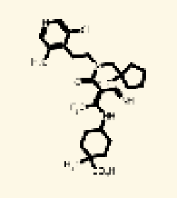 Cc1cncc(Cl)c1CCN(CC1(C)CCCC1)C(=O)/C(C=N)=C(/NC1CCC(C)(C(=O)O)CC1)C(F)(F)F